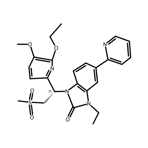 CCOc1nc([C@@H](CS(C)(=O)=O)n2c(=O)n(CC)c3cc(-c4ccccn4)ccc32)ccc1OC